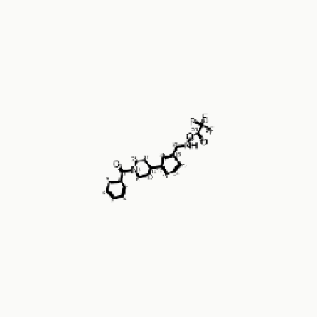 O=C(c1ccccc1)N1CCC(c2cccc(CNOC(=O)C(F)(F)F)c2)CC1